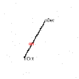 CCCCCCCC/C=C\CCCCCCCCCCCC(=O)OCCCCCCCCCCCCCCCCCCCCCCCCCCCCCCCCC